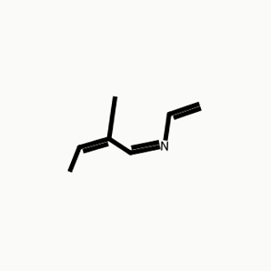 C=C/N=C\C(C)=C/C